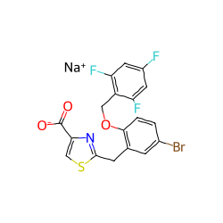 O=C([O-])c1csc(Cc2cc(Br)ccc2OCc2c(F)cc(F)cc2F)n1.[Na+]